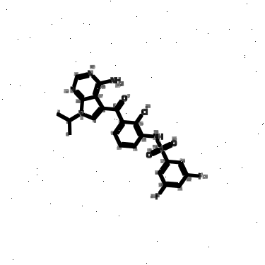 CC(C)n1cc(C(=O)c2cccc(NS(=O)(=O)c3cc(F)cc(F)c3)c2Cl)c2c(N)ncnc21